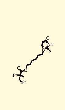 CC(C)CC(C)(C(=O)OCCCCCCn1ccc(=O)[nH]c1=S)C(C)C